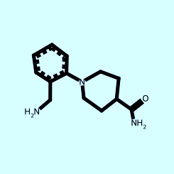 NCc1ccccc1N1CCC(C(N)=O)CC1